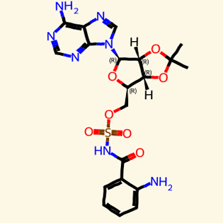 CC1(C)O[C@@H]2[C@H](O1)[C@@H](COS(=O)(=O)NC(=O)c1ccccc1N)O[C@H]2n1cnc2c(N)ncnc21